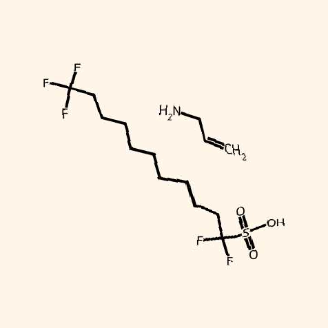 C=CCN.O=S(=O)(O)C(F)(F)CCCCCCCCCC(F)(F)F